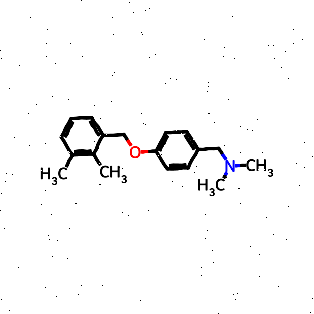 Cc1cccc(COc2ccc(CN(C)C)cc2)c1C